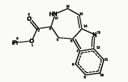 CC(C)OC(=O)C1CC2=c3ccccc3=NC2=CCN1